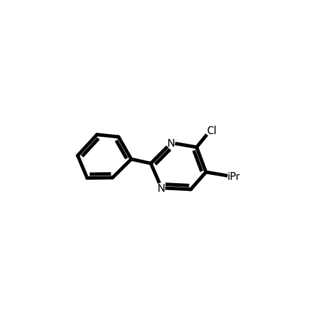 CC(C)c1cnc(-c2ccccc2)nc1Cl